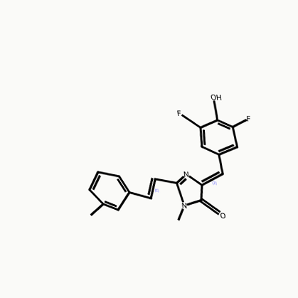 Cc1cccc(/C=C/C2=NC(=C\c3cc(F)c(O)c(F)c3)/C(=O)N2C)c1